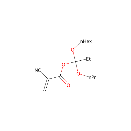 C=C(C#N)C(=O)OC(CC)(OCCC)OCCCCCC